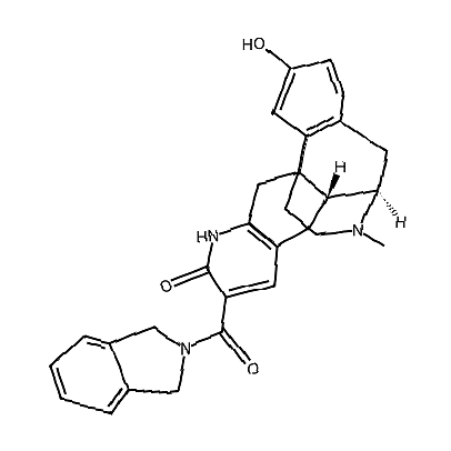 CN1CCC23Cc4[nH]c(=O)c(C(=O)N5Cc6ccccc6C5)cc4C[C@H]2[C@H]1Cc1ccc(O)cc13